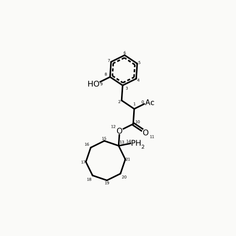 CC(=O)C(Cc1ccccc1O)C(=O)OC1(P)CCCCCCC1